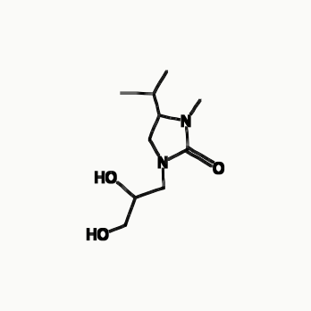 CC(C)C1CN(CC(O)CO)C(=O)N1C